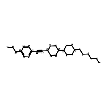 CCCCCCC1CCC(C2CCC(C#Cc3ccc(CCC)cc3)CC2)CC1